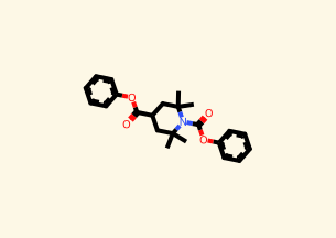 CC1(C)CC(C(=O)Oc2ccccc2)CC(C)(C)N1C(=O)Oc1ccccc1